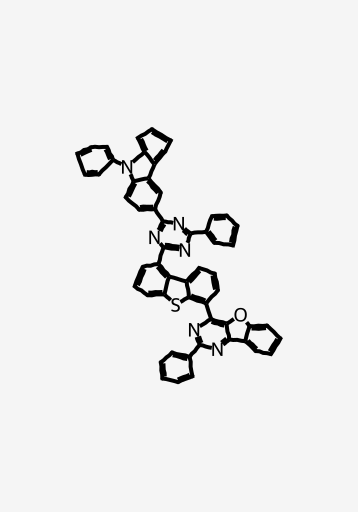 c1ccc(-c2nc(-c3ccc4c(c3)c3ccccc3n4-c3ccccc3)nc(-c3cccc4sc5c(-c6nc(-c7ccccc7)nc7c6oc6ccccc67)cccc5c34)n2)cc1